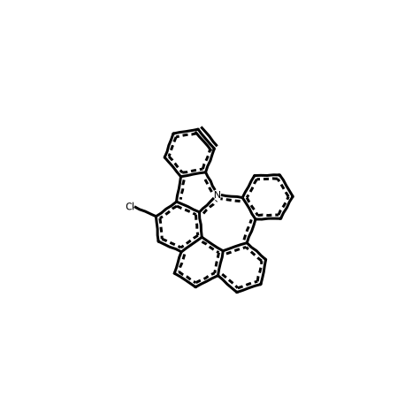 Clc1cc2ccc3cccc4c5ccccc5n5c6c#cccc6c1c5c2c34